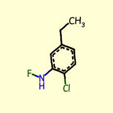 CCc1ccc(Cl)c(NF)c1